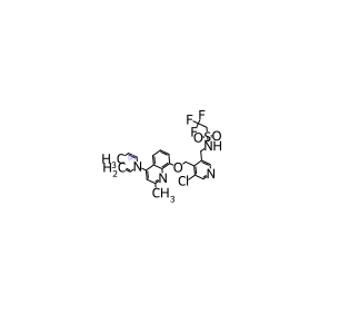 C=CN(/C=C\C)c1cc(C)nc2c(OCc3c(Cl)cncc3CNS(=O)(=O)CC(F)(F)F)cccc12